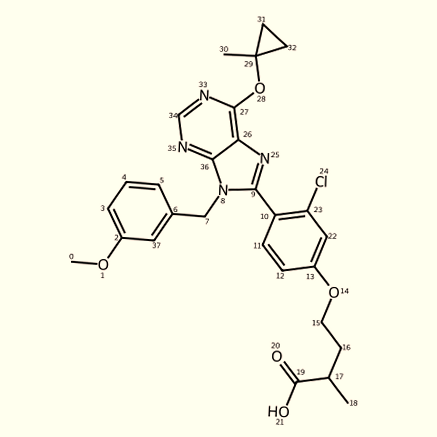 COc1cccc(Cn2c(-c3ccc(OCCC(C)C(=O)O)cc3Cl)nc3c(OC4(C)CC4)ncnc32)c1